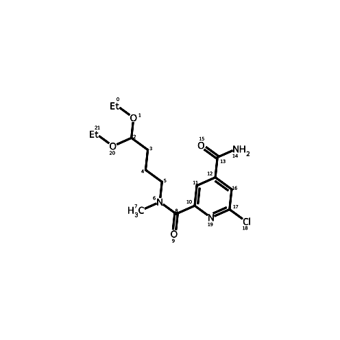 CCOC(CCCN(C)C(=O)c1cc(C(N)=O)cc(Cl)n1)OCC